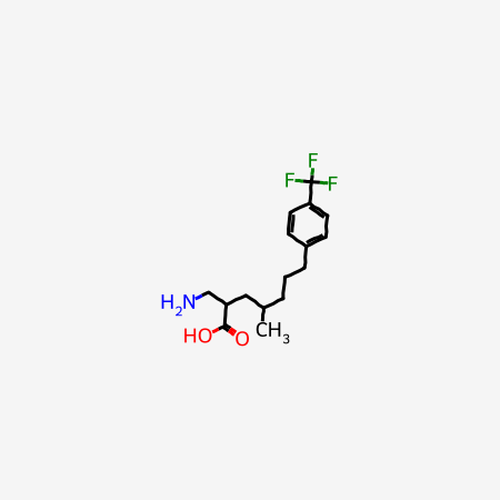 CC(CCCc1ccc(C(F)(F)F)cc1)CC(CN)C(=O)O